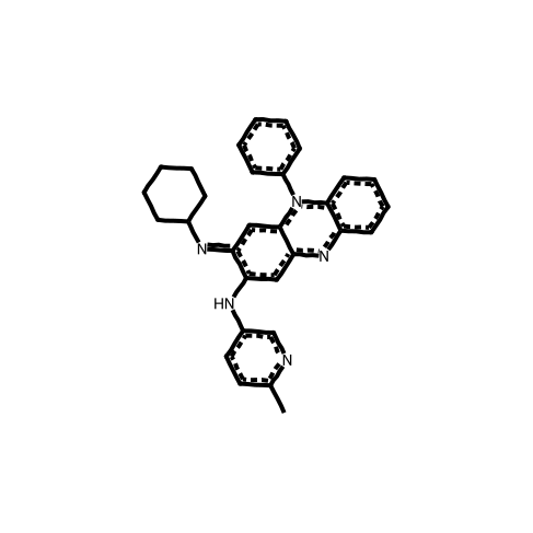 Cc1ccc(Nc2cc3nc4ccccc4n(-c4ccccc4)c-3c/c2=N\C2CCCCC2)cn1